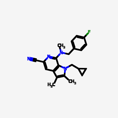 Cc1c(C)n(CC2CC2)c2c(N(C)Cc3ccc(F)cc3)nc(C#N)cc12